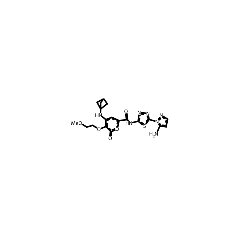 COCCOc1c(NC23CC(C2)C3)cc(C(=O)Nc2nnc(-n3nccc3N)s2)oc1=O